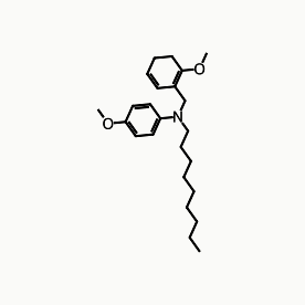 CCCCCCCCCN(CC1=C(OC)CCC=C1)c1ccc(OC)cc1